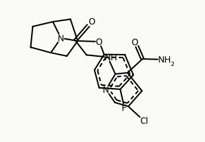 NC(=O)c1cc(Cl)cnc1NCC(=O)N1C2CCC1CC(Oc1ccc(F)cc1)C2